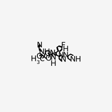 CC1(C(=O)NCC#N)COC(c2nc(-c3ccc(F)cc3)c(-c3ccnc(NC4CCNCC4)n3)[nH]2)OC1